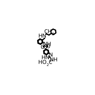 C[C@@H](CC1CCCCC1)NCc1ccccc1NS(=O)(=O)c1ccc2[nH]c(NC(=O)O)nc2c1